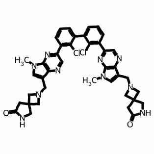 Cn1cc(CN2CC3(CNC(=O)C3)C2)c2ncc(-c3cccc(-c4cccc(-c5cnc6c(CN7CC8(CNC(=O)C8)C7)cn(C)c6n5)c4Cl)c3Cl)nc21